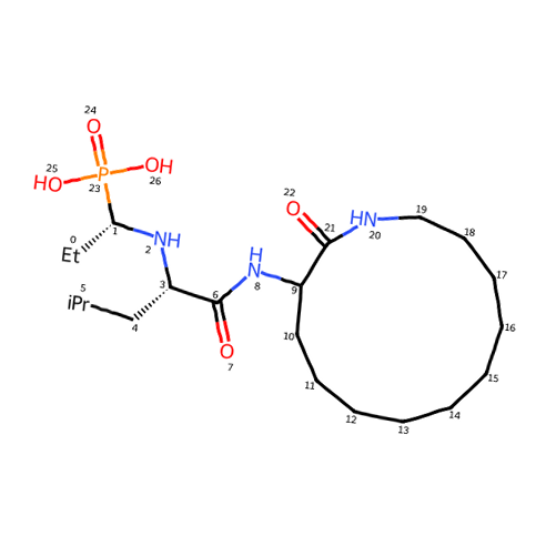 CC[C@@H](N[C@@H](CC(C)C)C(=O)NC1CCCCCCCCCCNC1=O)P(=O)(O)O